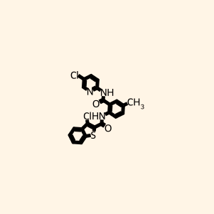 Cc1ccc(NC(=O)c2sc3ccccc3c2Cl)c(C(=O)Nc2ccc(Cl)cn2)c1